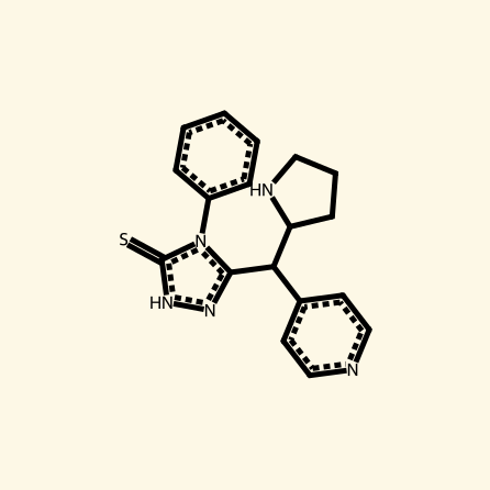 S=c1[nH]nc(C(c2ccncc2)C2CCCN2)n1-c1ccccc1